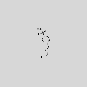 CCOCc1ccc([Se](N)(=O)=O)cc1